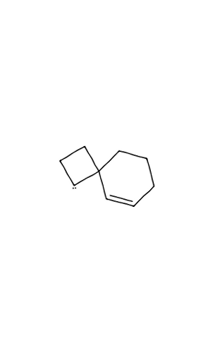 [C]1CCC12C=CCCC2